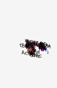 COC(=O)[C@H]1O[C@@H](Oc2ccc(COC(=O)Nc3cc(OCCCCCOc4cc(N)c(C(=O)N5CC6(CC6)C[C@H]5CO[Si](C)(C)C(C)(C)C)cc4OC)c(OC)cc3C(=O)N3Cc4ccccc4C[C@H]3CO[Si](C)(C)C(C)(C)C)cc2)[C@H](OC(C)=O)[C@@H](OC(C)=O)[C@@H]1OC(C)=O